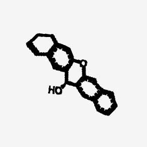 O[C@H]1c2cc3c(cc2Oc2cc4ccccc4cc21)CCC=C3